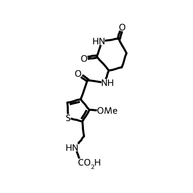 COc1c(C(=O)NC2CCC(=O)NC2=O)csc1CNC(=O)O